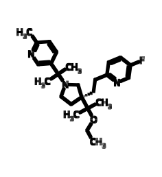 CCOC(C)(C)[C@@]1(CCc2ccc(F)cn2)CCN(C(C)(C)c2ccc(C)nc2)C1